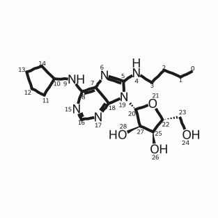 CCCCNc1nc2c(NC3CCCC3)ncnc2n1[C@@H]1O[C@H](CO)[C@@H](O)[C@H]1O